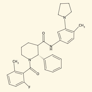 Cc1ccc(NC(=O)C2CCCN(C(=O)c3c(C)cccc3F)[C@H]2c2ccccc2)cc1N1CCCC1